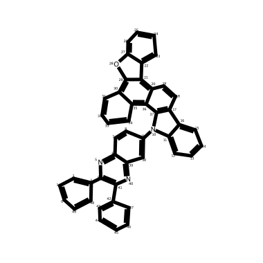 c1ccc(-c2nc3ccc(-n4c5ccccc5c5ccc6c7c8ccccc8oc7c7ccccc7c6c54)cc3nc2-c2ccccc2)cc1